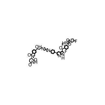 O=C1CCC(N2Cc3cc(C(O)CCN4CC5(C4)CN(c4ccc(-c6cnc7[nH]cc(C(=O)c8c(F)ccc(NS(=O)(=O)N9CC[C@@H](F)C9)c8F)c7c6)cc4)C5)ccc3C2=O)C(=O)N1